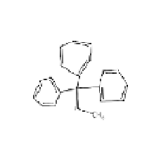 C[C]C(c1ccccc1)(c1ccccc1)c1ccccc1